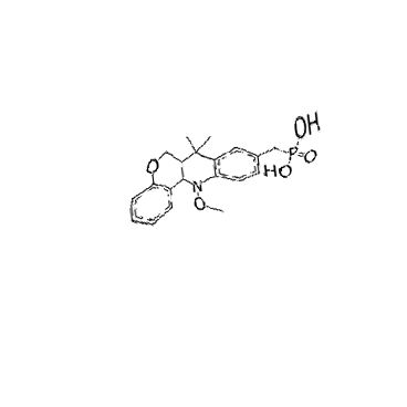 CON1c2ccc(CP(=O)(O)O)cc2C(C)(C)C2COc3ccccc3C21